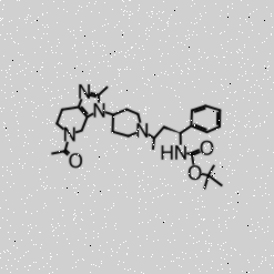 CC(=O)N1CCc2nc(C)n(C3CCN(C(C)C[C@H](NC(=O)OC(C)(C)C)c4ccccc4)CC3)c2C1